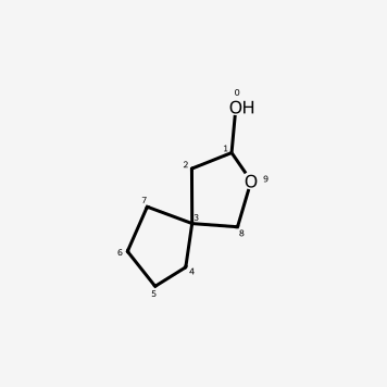 OC1CC2(CCCC2)CO1